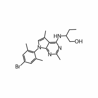 CCC(CO)Nc1nc(C)nc2c1c(C)cn2-c1c(C)cc(Br)cc1C